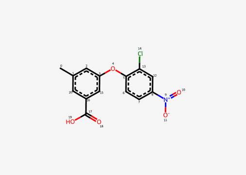 Cc1cc(Oc2ccc([N+](=O)[O-])cc2Cl)cc(C(=O)O)c1